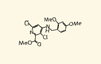 COC(=O)c1nc(Cl)cc(NCc2ccc(OC)cc2OC)c1Cl